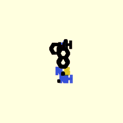 CNc1nc2cc3c(cc2s1)C[C@@H]1[C@@H]2CCCC[C@]32CCN1C